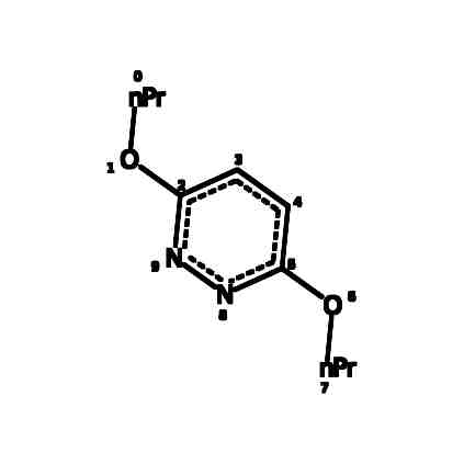 CCCOc1ccc(OCCC)nn1